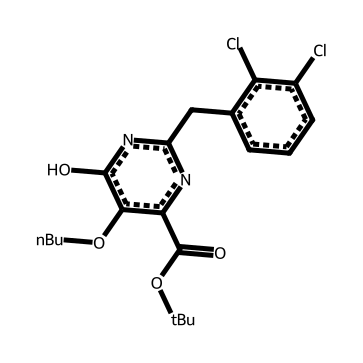 CCCCOc1c(O)nc(Cc2cccc(Cl)c2Cl)nc1C(=O)OC(C)(C)C